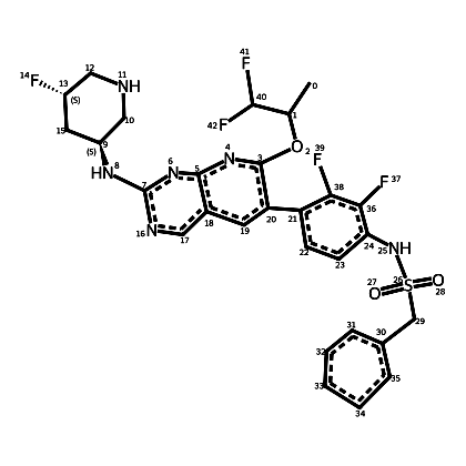 CC(Oc1nc2nc(N[C@@H]3CNC[C@@H](F)C3)ncc2cc1-c1ccc(NS(=O)(=O)Cc2ccccc2)c(F)c1F)C(F)F